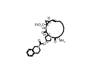 CCOC(=O)[C@@]12C[C@H]1/C=C/CCCCC[C@H](N)C(=O)N1C[C@H](OC(=O)N3CCc4ccccc4C3)C[C@H]1C(=O)N2